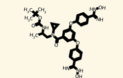 CC(CN(C(=O)c1cc(Oc2ccc(C(=N)NO)cc2)cc(Oc2ccc(C(=N)NO)cc2)c1)C1CC1)NC(=O)OC(C)(C)C